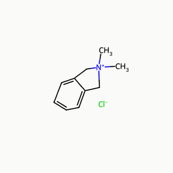 C[N+]1(C)Cc2ccccc2C1.[Cl-]